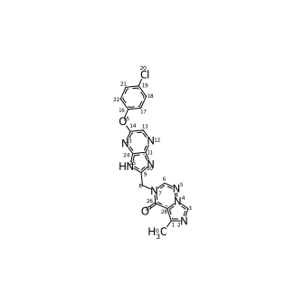 Cc1ncn2ncn(Cc3nc4ncc(Oc5ccc(Cl)cc5)nc4[nH]3)c(=O)c12